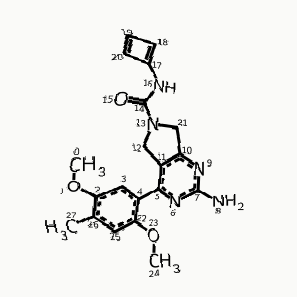 COc1cc(-c2nc(N)nc3c2CN(C(=O)NC2=CC=C2)C3)c(OC)cc1C